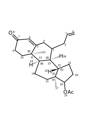 C=CCC1CC2=CC(=O)CC[C@]2(C)[C@@H]2CC[C@]3(C)C(OC(C)=O)CC[C@H]3[C@H]12